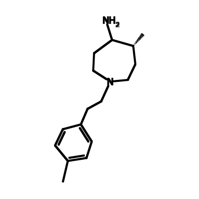 Cc1ccc(CCN2CCC(N)[C@H](C)CC2)cc1